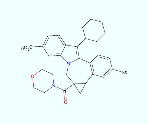 CCc1ccc2c(c1)C1CC1(C(=O)N1CCOCC1)Cn1c-2c(C2CCCCC2)c2ccc(C(=O)O)cc21